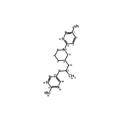 CCCc1ccc(N2CCCC(CC(C)Cc3cnc(C(C)(C)C)nc3)C2)nc1